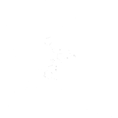 Cc1noc(=O)c2ccc(NC(=O)C(O)(CC(C)(C)c3ccccc3)c3ccc(N(C)C)cc3)cc12